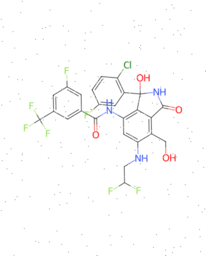 O=C(Nc1cc(NCC(F)F)c(CO)c2c1C(O)(c1cc(F)ccc1Cl)NC2=O)c1cc(F)cc(C(F)(F)F)c1